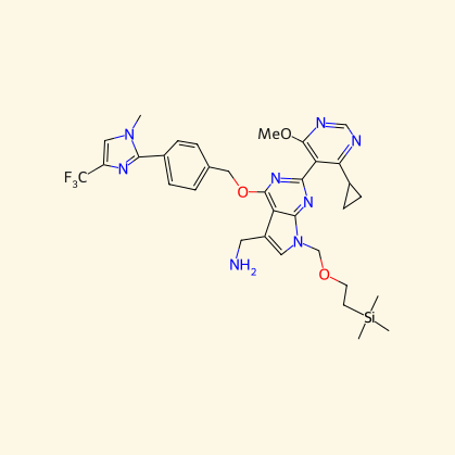 COc1ncnc(C2CC2)c1-c1nc(OCc2ccc(-c3nc(C(F)(F)F)cn3C)cc2)c2c(CN)cn(COCC[Si](C)(C)C)c2n1